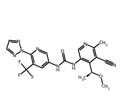 CO[C@@H](C)c1c(NC(=O)Nc2cnc(-n3nccn3)c(C(F)(F)F)c2)cnc(C)c1C#N